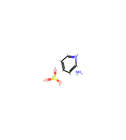 N.O=S(=O)=O.c1ccncc1